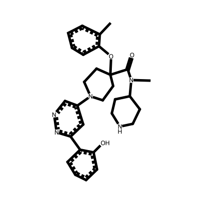 Cc1ccccc1OC1(C(=O)N(C)C2CCNCC2)CCN(c2cnnc(-c3ccccc3O)c2)CC1